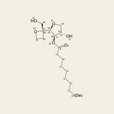 CCCCCCCCCCCCCCCCCC(=O)O[C@@H]1[C@@H](O)CO[C@@H]1[C@]1(CO)CCO1